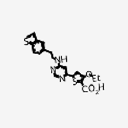 CCOc1cc(-c2cc(NCCc3ccc4sccc4c3)ncn2)sc1C(=O)O